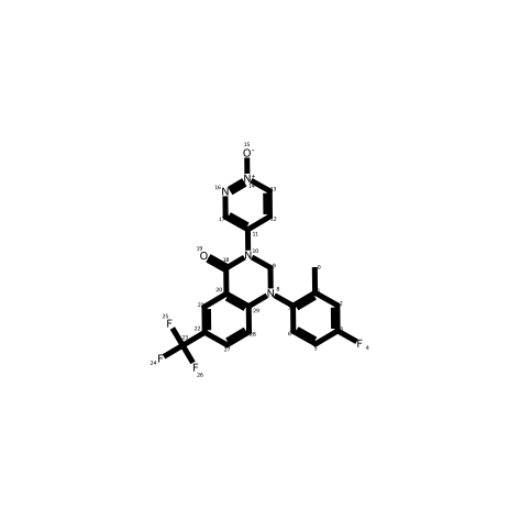 Cc1cc(F)ccc1N1CN(c2cc[n+]([O-])nc2)C(=O)c2cc(C(F)(F)F)ccc21